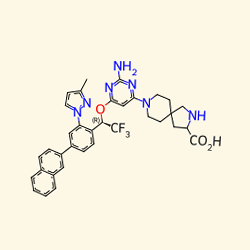 Cc1ccn(-c2cc(-c3ccc4ccccc4c3)ccc2[C@@H](Oc2cc(N3CCC4(CC3)CNC(C(=O)O)C4)nc(N)n2)C(F)(F)F)n1